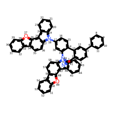 N#Cc1ccc(-c2ccccc2)cc1-c1ccc(-n2c3ccccc3c3c4oc5ccccc5c4ccc32)cc1-n1c2ccccc2c2c3oc4ccccc4c3ccc21